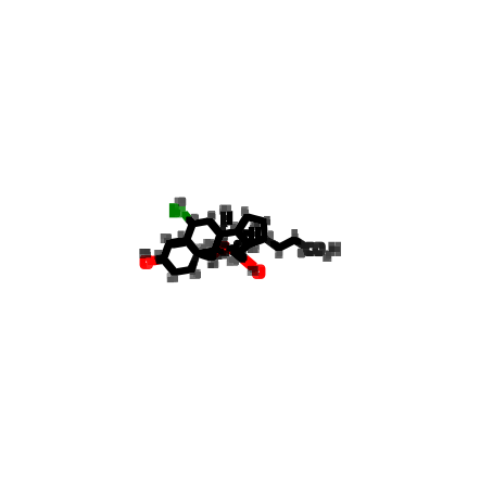 O=C(O)CC[C@@H]1CC[C@H]2[C@@H]3CC(Br)C4=CC(=O)CC[C@@]45COC(=O)[C@@]12CCC35